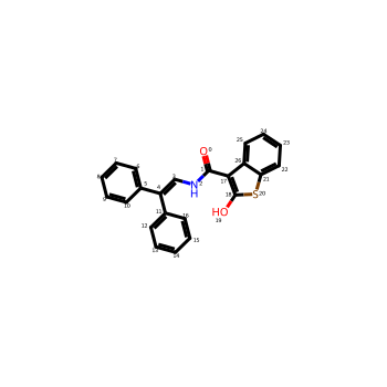 O=C(NC=C(c1ccccc1)c1ccccc1)c1c(O)sc2ccccc12